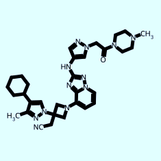 Cc1nn(C2(CC#N)CN(c3cccn4nc(Nc5cnn(CC(=O)N6CCN(C)CC6)c5)nc34)C2)cc1C1CCCCC1